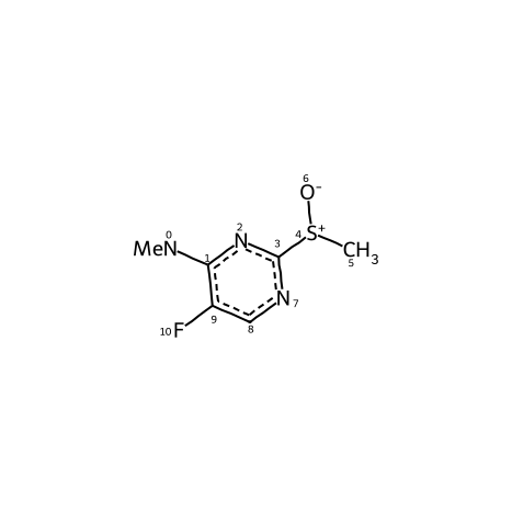 CNc1nc([S+](C)[O-])ncc1F